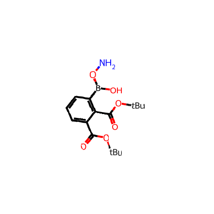 CC(C)(C)OC(=O)c1cccc(B(O)ON)c1C(=O)OC(C)(C)C